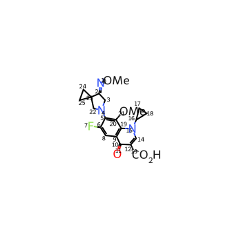 CON=C1CN(c2c(F)cc3c(=O)c(C(=O)O)cn(C4CC4)c3c2OC)CC12CC2